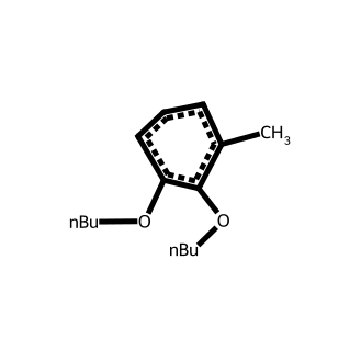 CCCCOc1cccc(C)c1OCCCC